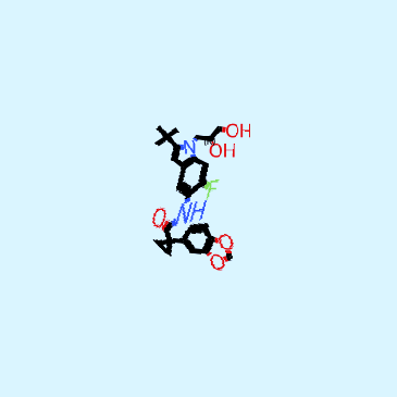 CC(C)(C)c1cc2cc(NC(=O)C3(c4ccc5c(c4)OCO5)CC3)c(F)cc2n1C[C@@H](O)CO